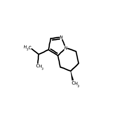 CC(C)c1cnn2c1C[C@H](C)CC2